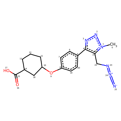 Cn1nnc(-c2ccc(OC3CCCC(C(=O)O)C3)cc2)c1CN=[N+]=[N-]